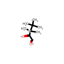 CC(C)(C)[Si](C)(C)C(=O)C=O